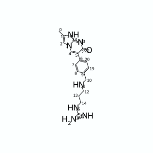 Cc1cn2cc(-c3ccc(CNCCCNC(=N)N)cc3)c(=O)nc2[nH]1